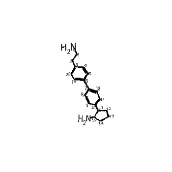 NCCc1ccc(-c2ccc(C3CCCC3N)cc2)cc1